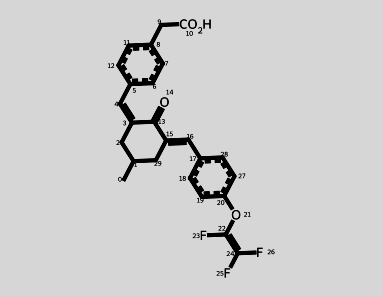 CC1CC(=Cc2ccc(CC(=O)O)cc2)C(=O)C(=Cc2ccc(OC(F)=C(F)F)cc2)C1